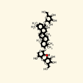 CC1(C)CCC2(C(=O)OC3OC(CO)C(O)C(O)C3O)C(O)CC3(C)C(=CCC4C5(C)CCC(OC6OCC(O)C(OC7OC(CO)C(O)C(O)C7O)C6O)C(C)(C)C5CCC43C)C2C1